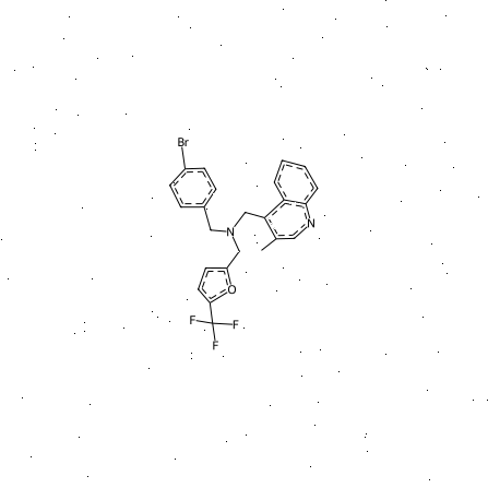 Cc1cnc2ccccc2c1CN(Cc1ccc(Br)cc1)Cc1ccc(C(F)(F)F)o1